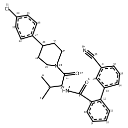 CC(C)[C@@H](NC(=O)c1ccccc1-c1cccc(C#N)c1)C(=O)N1CCC(c2ccc(Cl)cc2)CC1